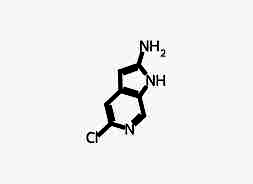 Nc1cc2cc(Cl)ncc2[nH]1